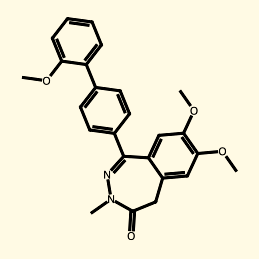 COc1cc2c(cc1OC)C(c1ccc(-c3ccccc3OC)cc1)=NN(C)C(=O)C2